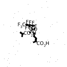 C=C(C)C(=O)O.CC(=CCCN(C)S(=O)(=O)C(F)(F)C(F)(F)C(F)(F)C(F)(F)F)C(=O)O